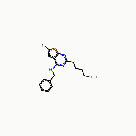 CCc1cc2c(NCc3ccccc3)nc(CCCCC(=O)O)nc2s1